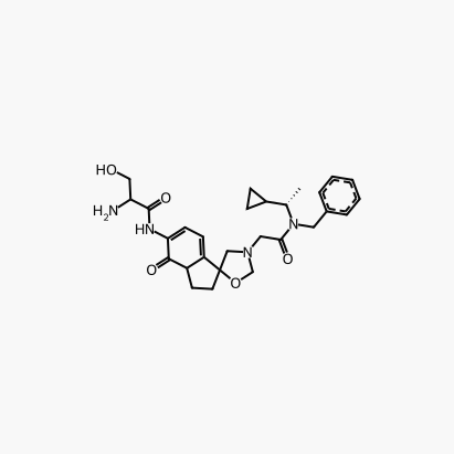 C[C@@H](C1CC1)N(Cc1ccccc1)C(=O)CN1COC2(CCC3C(=O)C(NC(=O)C(N)CO)=CC=C32)C1